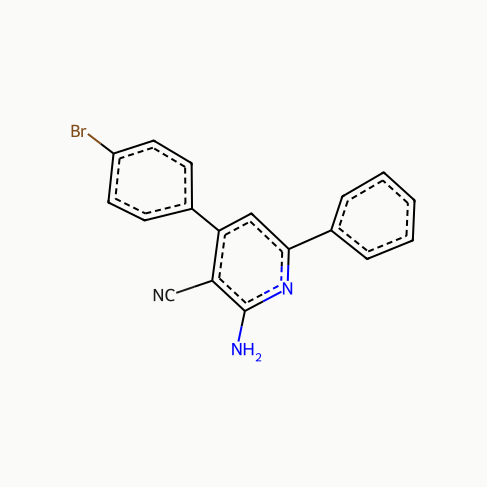 N#Cc1c(-c2ccc(Br)cc2)cc(-c2ccccc2)nc1N